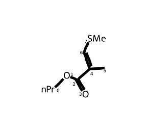 CCCOC(=O)C(C)=CSC